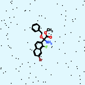 COC(=O)C(N)(OCc1ccccc1)c1ccc2ccc(Br)cc2c1F